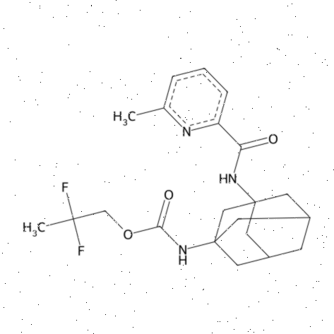 Cc1cccc(C(=O)NC23CC4CC(CC(NC(=O)OCC(C)(F)F)(C4)C2)C3)n1